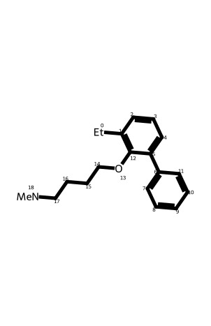 CCc1cccc(-c2ccccc2)c1OCCCCNC